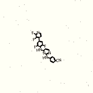 N#Cc1ccc(Nc2nccc(Nc3c(F)cc(-c4ccnc(F)c4F)cc3F)n2)cc1